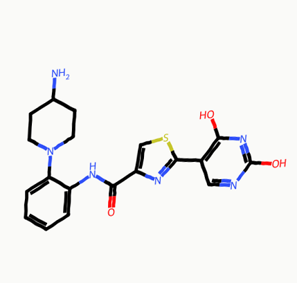 NC1CCN(c2ccccc2NC(=O)c2csc(-c3cnc(O)nc3O)n2)CC1